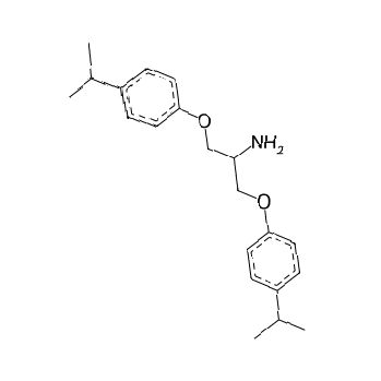 CC(C)c1ccc(OCC(N)COc2ccc(C(C)C)cc2)cc1